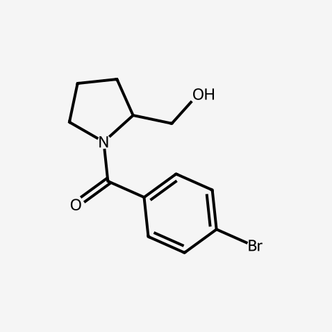 O=C(c1ccc(Br)cc1)N1CCCC1CO